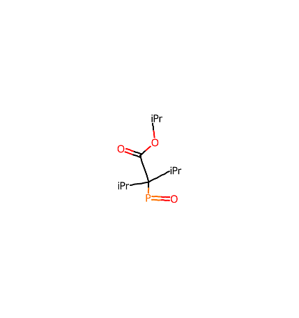 CC(C)OC(=O)C(P=O)(C(C)C)C(C)C